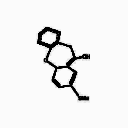 CSC1=CC2=C(O)Cc3ccccc3OC2C=C1